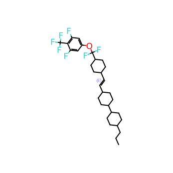 CCCC1CCC(C2CCC(/C=C/C3CCC(C(F)(F)Oc4cc(F)c(C(F)(F)F)c(F)c4)CC3)CC2)CC1